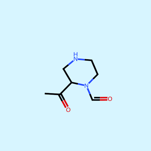 CC(=O)C1CNCCN1C=O